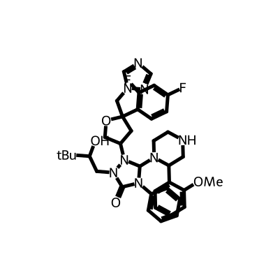 COc1ccccc1C1CNCCN1C1N(c2ccccc2)C(=O)N(CC(O)C(C)(C)C)N1C1COC(Cn2cncn2)(c2ccc(F)cc2F)C1